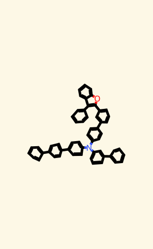 c1ccc(-c2ccc(-c3ccc(N(c4ccc(-c5cccc(-c6oc7ccccc7c6-c6ccccc6)c5)cc4)c4cccc(-c5ccccc5)c4)cc3)cc2)cc1